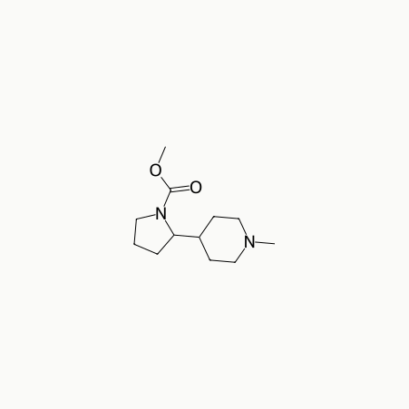 COC(=O)N1CCCC1C1CCN(C)CC1